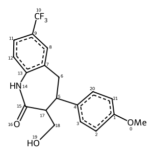 COc1ccc(C2Cc3cc(C(F)(F)F)ccc3NC(=O)C2CO)cc1